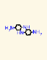 Nc1ccc2c(c1)Nc1ccc(N)cc1N2